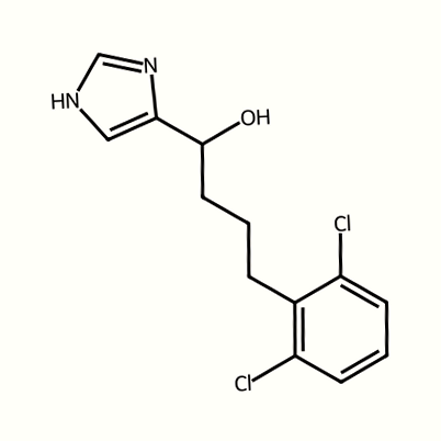 OC(CCCc1c(Cl)cccc1Cl)c1c[nH]cn1